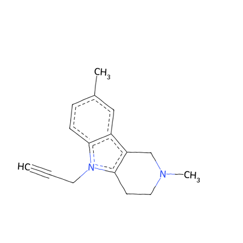 C#CCn1c2c(c3cc(C)ccc31)CN(C)CC2